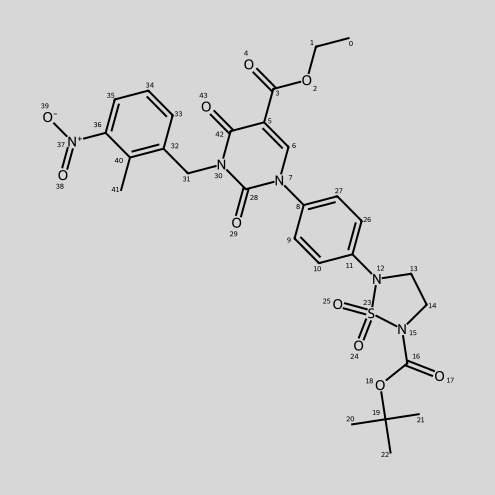 CCOC(=O)c1cn(-c2ccc(N3CCN(C(=O)OC(C)(C)C)S3(=O)=O)cc2)c(=O)n(Cc2cccc([N+](=O)[O-])c2C)c1=O